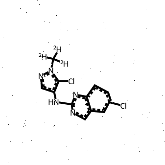 [2H]C([2H])([2H])n1ncc(Nc2ncc3cc(Cl)ccc3n2)c1Cl